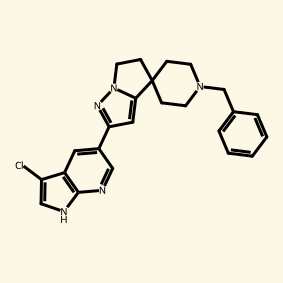 Clc1c[nH]c2ncc(-c3cc4n(n3)CCC43CCN(Cc4ccccc4)CC3)cc12